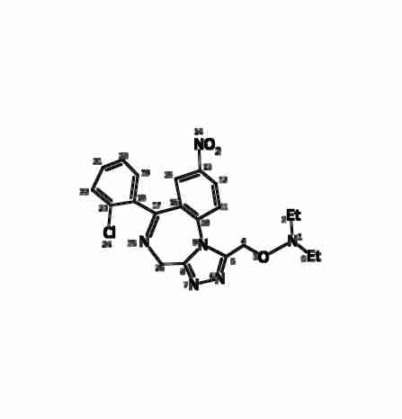 CCN(CC)OCc1nnc2n1-c1ccc([N+](=O)[O-])cc1C(c1ccccc1Cl)=NC2